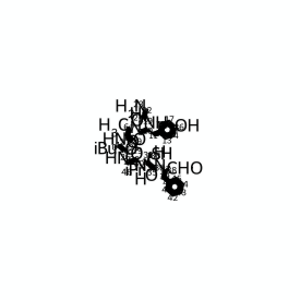 CC[C@H](C)[C@H](NC(=O)[C@H](C)NC(=O)[C@H](Cc1ccc(O)cc1)NC(=O)CN)C(=O)N[C@H](C(=O)N[C@@H](CS)C(=O)N[C@H]([C]=O)Cc1ccccc1)C(C)C